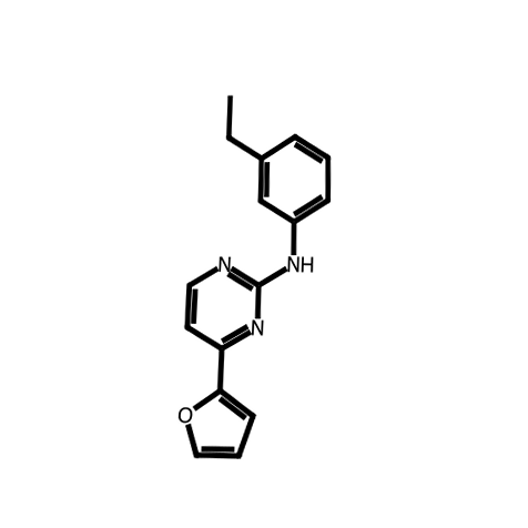 CCc1cccc(Nc2nccc(-c3ccco3)n2)c1